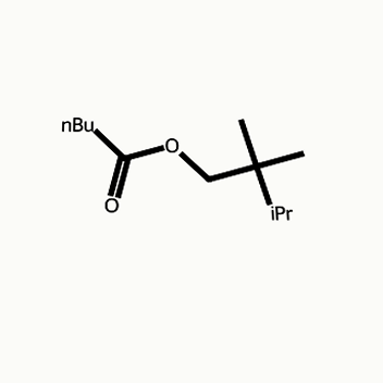 CCCCC(=O)OCC(C)(C)C(C)C